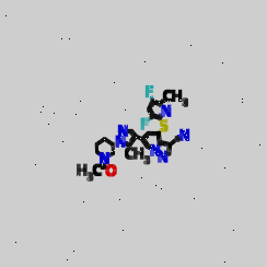 CC(=O)N1CCC[C@H](n2ncc(-c3cc(Sc4nc(C)c(F)cc4F)c4c(C#N)cnn4c3)c2C)C1